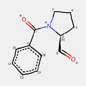 O=C[C@@H]1CCCN1C(=O)c1ccccc1